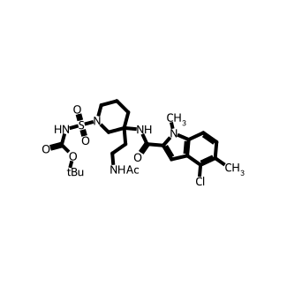 CC(=O)NCCC1(NC(=O)c2cc3c(Cl)c(C)ccc3n2C)CCCN(S(=O)(=O)NC(=O)OC(C)(C)C)C1